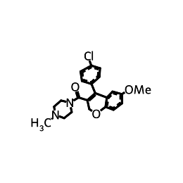 COc1ccc2c(c1)C(c1ccc(Cl)cc1)=C(C(=O)N1CCN(C)CC1)CO2